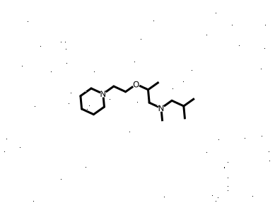 CC(C)CN(C)CC(C)OCCN1CCCCC1